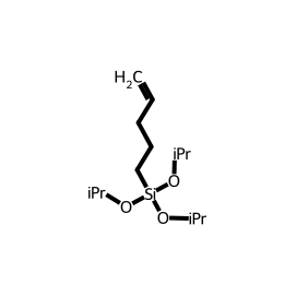 C=CCCC[Si](OC(C)C)(OC(C)C)OC(C)C